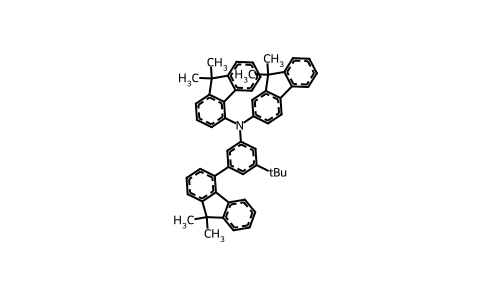 CC(C)(C)c1cc(-c2cccc3c2-c2ccccc2C3(C)C)cc(N(c2ccc3c(c2)C(C)(C)c2ccccc2-3)c2cccc3c2-c2ccccc2C3(C)C)c1